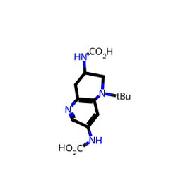 CC(C)(C)N1CC(NC(=O)O)Cc2ncc(NC(=O)O)cc21